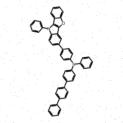 c1ccc(-c2ccc(-c3ccc(N(c4ccccc4)c4ccc(-c5ccc6c(c5)c5oc7ccccc7c5n6-c5ccccc5)cc4)cc3)cc2)cc1